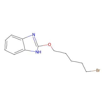 BrCCCCCOc1nc2ccccc2[nH]1